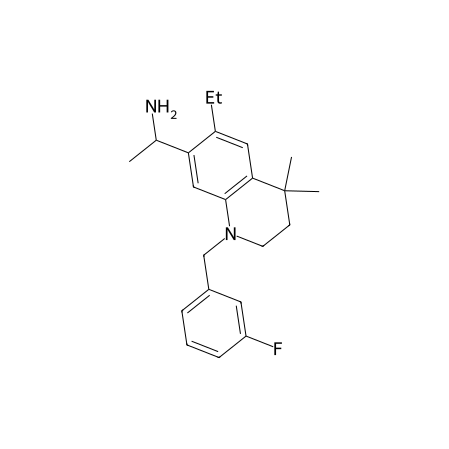 CCc1cc2c(cc1C(C)N)N(Cc1cccc(F)c1)CCC2(C)C